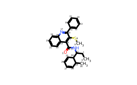 CCC(NC(=O)c1c(SC)c(-c2ccccc2)nc2ccccc12)C1C=CC=CC1C